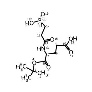 CC(C)(C)OC(=O)[C@H](CCC(=O)O)NC(=O)CC[PH](=O)O